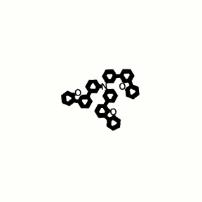 c1cc(-c2cccc3c2oc2ccccc23)cc(N(c2cccc(-c3cccc4c3oc3ccccc34)c2)c2cccc(-c3cccc4c3oc3ccccc34)c2)c1